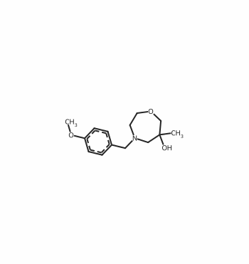 COc1ccc(CN2CCOCC(C)(O)C2)cc1